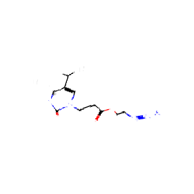 CC(C)C1=CN(CCC(=O)OCCN=[N+]=[N-])C(=O)N[C@@H]1C